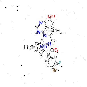 C[C@@H]1C[C@@H](O)c2ncnc(N3CCN(C(=O)C(c4ccc(Br)c(F)c4)[C@@H]4CCC(C)(C)N4)CC3)c21